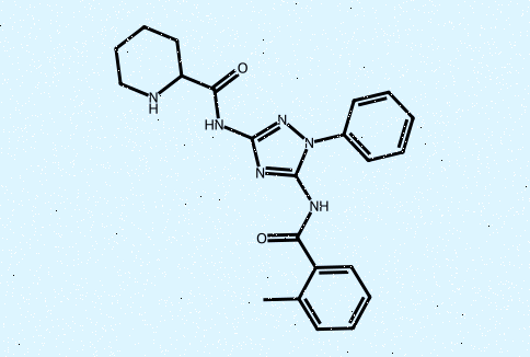 Cc1ccccc1C(=O)Nc1nc(NC(=O)C2CCCCN2)nn1-c1ccccc1